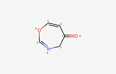 O=C1C=COC=NC1